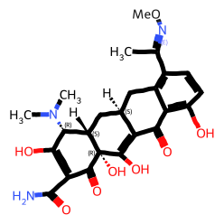 CO/N=C(\C)c1ccc(O)c2c1C[C@@H]1C[C@H]3[C@@H](N(C)C)C(O)=C(C(N)=O)C(=O)[C@]3(O)C(O)=C1C2=O